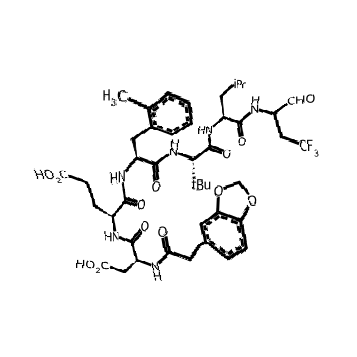 Cc1ccccc1C[C@H](NC(=O)[C@H](CCC(=O)O)NC(=O)[C@H](CC(=O)O)NC(=O)Cc1ccc2c(c1)OCO2)C(=O)N[C@H](C(=O)N[C@@H](CC(C)C)C(=O)NC(C=O)CC(F)(F)F)C(C)(C)C